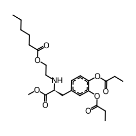 CCCCCC(=O)OCCN[C@@H](Cc1ccc(OC(=O)CC)c(OC(=O)CC)c1)C(=O)OC